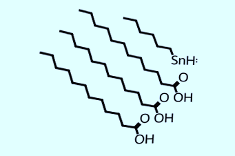 CCCCCCCCCCCC(=O)O.CCCCCCCCCCCC(=O)O.CCCCCCCCCCCC(=O)O.CCCCC[CH2][SnH]